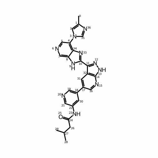 Cc1cn(-c2cncc3[nH]c(-c4n[nH]c5ncc(-c6cncc(NC(=O)CC(C)C)c6)cc45)nc23)cn1